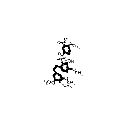 COc1ccc(S(=O)(=O)Nc2c(/C=C\c3cc(OC)c(OC)c(OC)c3)ccc(OC)c2O)cc1[N+](=O)[O-]